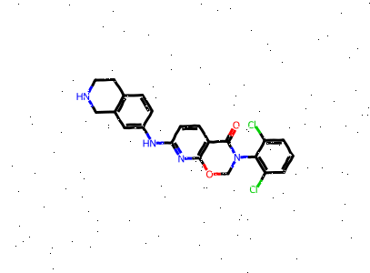 O=C1c2ccc(Nc3ccc4c(c3)CNCC4)nc2OCN1c1c(Cl)cccc1Cl